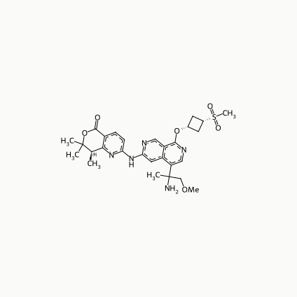 COCC(C)(N)c1cnc(O[C@H]2C[C@@H](S(C)(=O)=O)C2)c2cnc(Nc3ccc4c(n3)[C@@H](C)C(C)(C)OC4=O)cc12